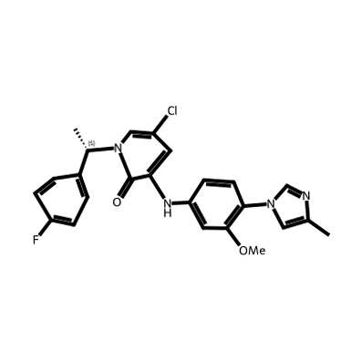 COc1cc(Nc2cc(Cl)cn([C@@H](C)c3ccc(F)cc3)c2=O)ccc1-n1cnc(C)c1